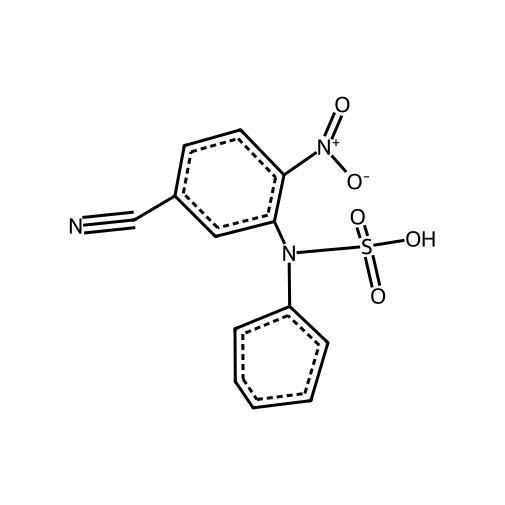 N#Cc1ccc([N+](=O)[O-])c(N(c2ccccc2)S(=O)(=O)O)c1